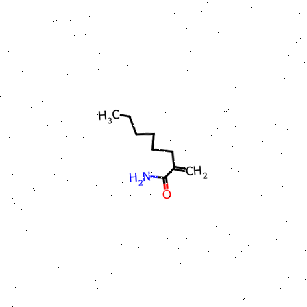 C=C(CCCCCC)C(N)=O